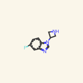 Fc1ccc2c(c1)ncn2C1CNC1